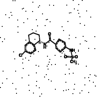 CS(=O)(=O)Nc1ccc(C(=O)N[C@H]2CCCc3cc(Cl)ccc32)cc1